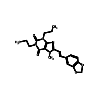 CCCn1c(=O)c2c(nc(C=Cc3ccc4c(c3)OCO4)n2C)n(CCC)c1=O